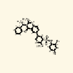 COc1ncc(-c2ccc3nc(N)n(C(C)c4ccccc4)c(=O)c3c2)cc1S(=O)(=O)Nc1ccc(F)cc1F